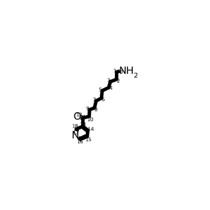 NCCCCCCCCCCC(=O)c1cccnc1